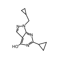 Oc1nc(C2CC2)nc2c1cnn2CC1CC1